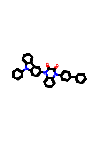 O=c1c(=O)n(-c2ccc3c(c2)c2ccccc2n3-c2ccccc2)c2ccccc2n1-c1ccc(-c2ccccc2)cc1